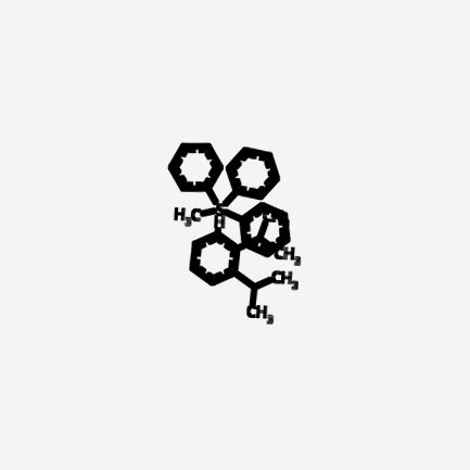 CC(C)c1cccc([SH](C)(c2ccccc2)(c2ccccc2)c2ccccc2)c1C(C)C